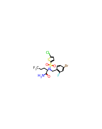 NC(=O)C(CCC(F)(F)F)N(Cc1ccc(Br)cc1F)S(=O)(=O)c1ccc(Cl)s1